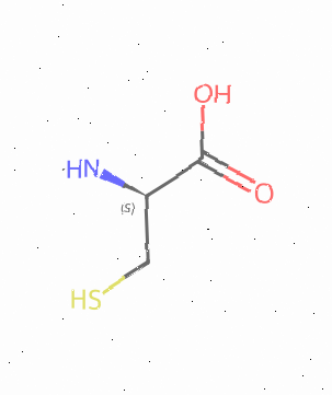 [NH][C@H](CS)C(=O)O